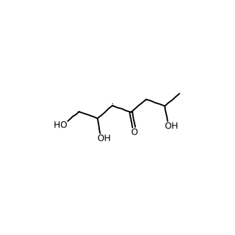 CC(O)CC(=O)[CH]C(O)CO